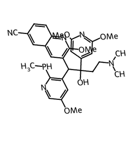 COc1cnc(PC)c(C(c2cc3cc(C#N)ccc3nc2OC)C(O)(CCN(C)C)c2cc(OC)nc(OC)c2)c1